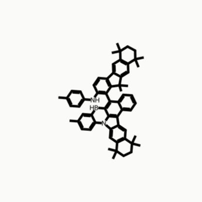 Cc1ccc(Nc2ccc3c(c2-c2c4c5c(c6ccccc26)c2cc6c(cc2n5-c2ccc(C)cc2B4)C(C)(C)CCC6(C)C)C(C)(C)c2cc4c(cc2-3)C(C)(C)CCC4(C)C)cc1